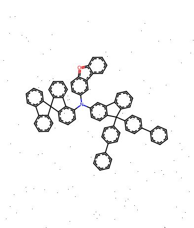 c1ccc(-c2ccc(C3(c4ccc(-c5ccccc5)cc4)c4ccccc4-c4cc(N(c5ccc6oc7ccccc7c6c5)c5cccc6c5-c5ccccc5C65c6ccccc6-c6ccccc65)ccc43)cc2)cc1